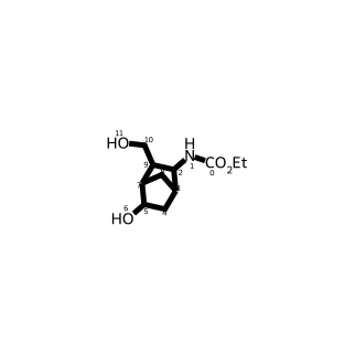 CCOC(=O)NC1C2CC(O)C(C2)C1CO